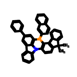 CC1(C)c2ccccc2-c2c1ccc1c2P(c2ccc3ccccc3c2)c2cc(-c3ccccc3)cc3c4ccccc4n-1c23